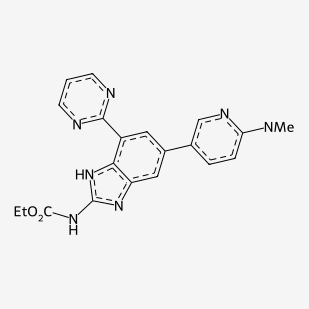 CCOC(=O)Nc1nc2cc(-c3ccc(NC)nc3)cc(-c3ncccn3)c2[nH]1